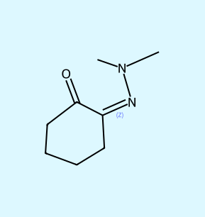 CN(C)/N=C1/CCCCC1=O